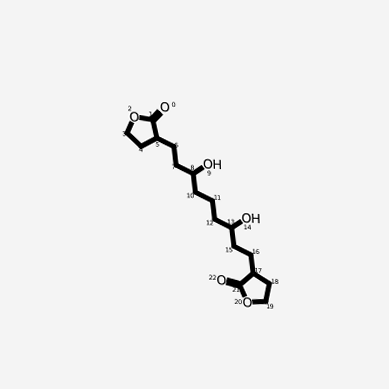 O=C1OCCC1CCC(O)CCCC(O)CCC1CCOC1=O